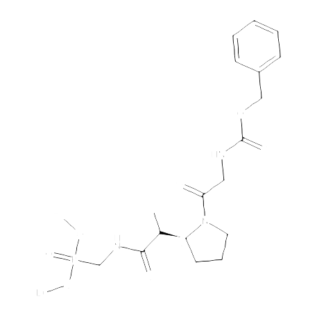 CCOP(=O)(CNC(=O)C(O)[C@@H]1CCCN1C(=O)CNC(=O)OCc1ccccc1)OCC